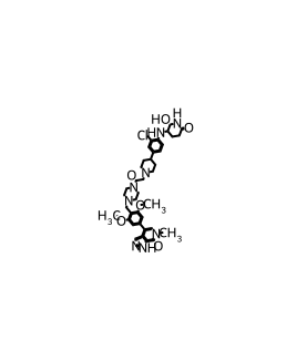 COc1cc(-c2cn(C)c(=O)c3[nH]ncc23)cc(OC)c1CN1CCN(C(=O)CN2CCC(c3ccc(NC4CCC(=O)NC4O)c(Cl)c3)CC2)CC1